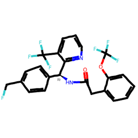 O=C(Cc1ccccc1OC(F)(F)F)N[C@@H](c1ccc(CF)cc1)c1ncccc1C(F)(F)F